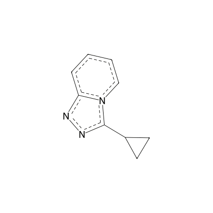 c1ccn2c(C3CC3)nnc2c1